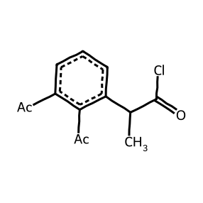 CC(=O)c1cccc(C(C)C(=O)Cl)c1C(C)=O